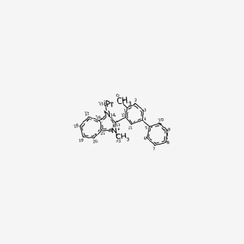 Cc1ccc(-c2ccccc2)cc1-c1n(C(C)C)c2ccccc2[n+]1C